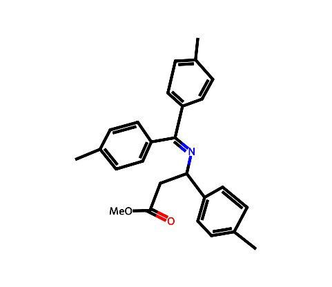 COC(=O)CC(N=C(c1ccc(C)cc1)c1ccc(C)cc1)c1ccc(C)cc1